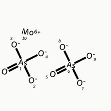 O=[As]([O-])([O-])[O-].O=[As]([O-])([O-])[O-].[Mo+6]